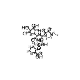 CCN1CCN(C(=O)NC(C(=O)N[C@H]2Cc3cccc(C(=O)O)c3OB2O)c2cc(O)c(O)c(Cl)c2)C(=O)C1=O